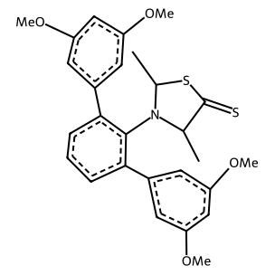 COc1cc(OC)cc(-c2cccc(-c3cc(OC)cc(OC)c3)c2N2C(C)SC(=S)C2C)c1